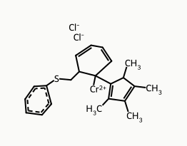 CC1=C(C)C(C)C([C]2([Cr+2])C=CC=CC2CSc2ccccc2)=C1C.[Cl-].[Cl-]